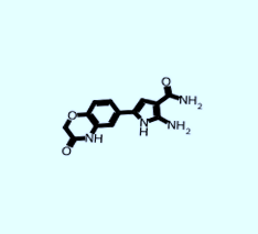 NC(=O)c1cc(-c2ccc3c(c2)NC(=O)CO3)[nH]c1N